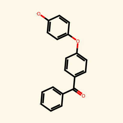 [O]c1ccc(Oc2ccc(C(=O)c3cc[c]cc3)cc2)cc1